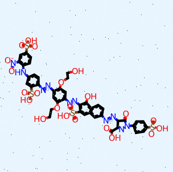 O=C(O)C1=NN(c2ccc(S(=O)(=O)O)cc2)C(=O)C1/N=N/c1ccc2c(O)c(/N=N/c3cc(OCCO)c(/N=N/c4ccc(Nc5ccc(S(=O)(=O)O)cc5[N+](=O)[O-])cc4S(=O)(=O)O)cc3OCCO)c(S(=O)(=O)O)cc2c1